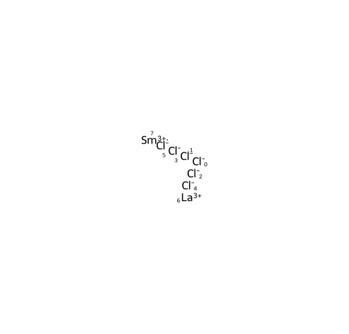 [Cl-].[Cl-].[Cl-].[Cl-].[Cl-].[Cl-].[La+3].[Sm+3]